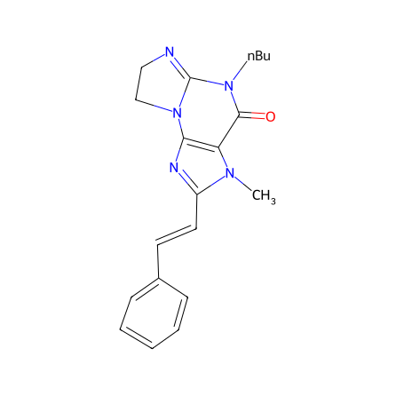 CCCCN1C(=O)c2c(nc(C=Cc3ccccc3)n2C)N2CCN=C12